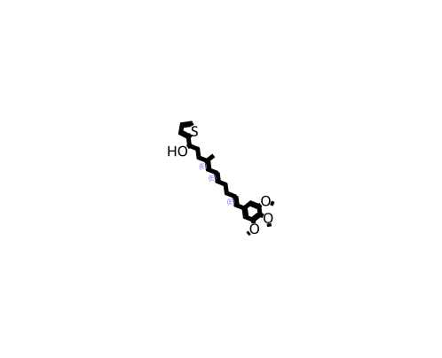 COc1cc(/C=C/CC/C=C/C=C(\C)CCC(O)c2cccs2)cc(OC)c1OC